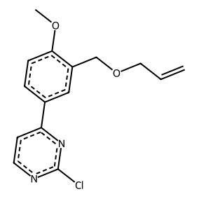 C=CCOCc1cc(-c2ccnc(Cl)n2)ccc1OC